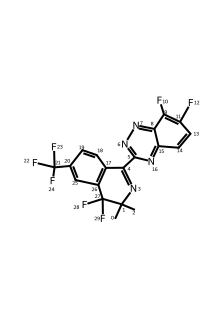 CC1(C)N=C(c2nnc3c(F)c(F)ccc3n2)c2ccc(C(F)(F)F)cc2C1(F)F